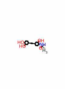 CC(=O)Nc1ccc(C#Cc2ccc(O)c(O)c2)cc1O